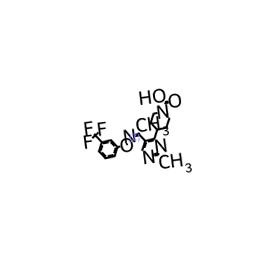 C/C(=N/Oc1cccc(C(F)(F)F)c1)c1cnc(C)nc1C1CCN(C(=O)O)CC1